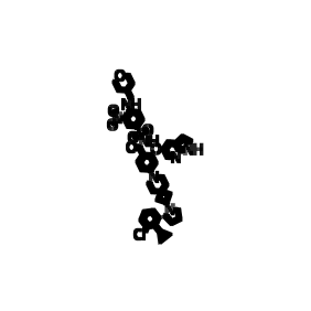 O=C(NS(=O)(=O)c1ccc(NCC2CCOCC2)c([N+](=O)[O-])c1)c1ccc(N2CCC3(CC2)CC(N2CCC[C@@H]2c2cccc(Cl)c2C2CC2)C3)cc1Oc1cnc2[nH]ccc2c1